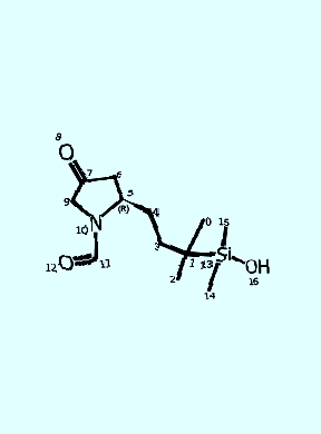 CC(C)(CC[C@@H]1CC(=O)CN1C=O)[Si](C)(C)O